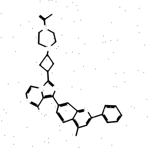 CC(=O)N1CCN(C2CC(c3nc(-c4ccc5c(C)cc(-c6ccccc6)nc5c4)c4c(N)nccn34)C2)CC1